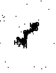 NC(=O)c1c(-c2ccc(Oc3ccccc3)cc2)nn2c1NCCC2C1CCN(C2CCN(C(=O)N3CCN(C4CCN(c5ccc6c(c5)C(=O)N(C5CCC(=O)NC5=O)C6=O)CC4)CC3)CC2)CC1